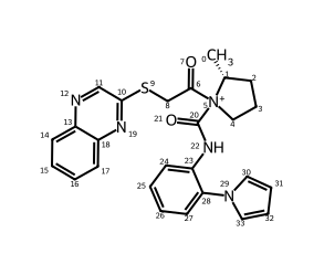 C[C@@H]1CCC[N+]1(C(=O)CSc1cnc2ccccc2n1)C(=O)Nc1ccccc1-n1cccc1